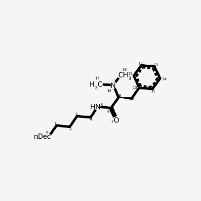 CCCCCCCCCCCCCCNC(=O)[C@H](Cc1ccccc1)N(C)C